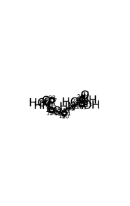 O=C(O)NC(c1ccccc1)c1cccc(OCc2cccc(CCNC[C@H](O)c3ccc(O)c4[nH]c(=O)ccc34)c2)c1